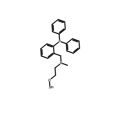 CCCOCCN(C)Cc1ccccc1P(c1ccccc1)c1ccccc1